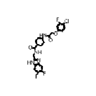 O=C(COc1ccc(Cl)c(F)c1)NC1CCC(C(=O)NCc2nc3cc(F)c(F)cc3[nH]2)CC1